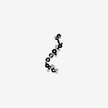 Cc1ccc(C(=O)Nc2ccc(N3CCN(C4CCN(Cc5ccc6c(c5)C(=O)N(C5CCC(=O)NC5=O)C6=O)CC4)CC3)c(C(F)(F)F)c2)cc1C#Cc1cnc2cccnn12